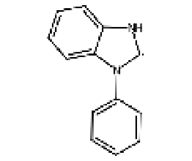 [CH]1Nc2ccccc2N1c1ccccc1